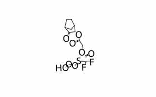 O=C(COC(=O)C(F)(F)SOOO)OC1C(=O)C2CCC1C2